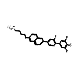 CCCCCCc1ccc2cc(-c3ccc(-c4cc(F)c(F)c(F)c4)c(F)c3)ccc2c1